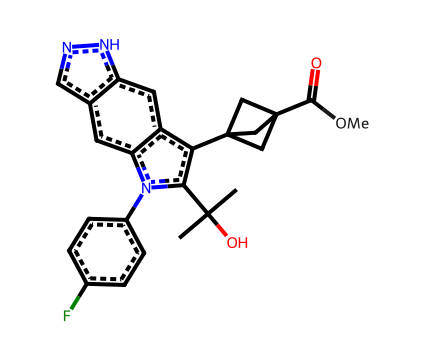 COC(=O)C12CC(c3c(C(C)(C)O)n(-c4ccc(F)cc4)c4cc5cn[nH]c5cc34)(C1)C2